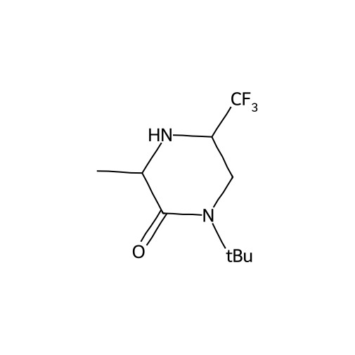 CC1NC(C(F)(F)F)CN(C(C)(C)C)C1=O